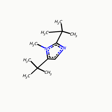 Cn1c(C(C)(C)C)cnc1C(C)(C)C